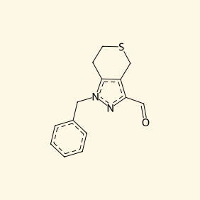 O=Cc1nn(Cc2ccccc2)c2c1CSCC2